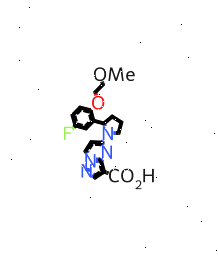 COCCOc1ccc(F)cc1C1CCCN1c1ccn2ncc(C(=O)O)c2n1